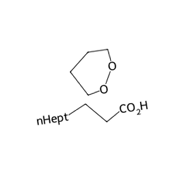 C1CCOOC1.CCCCCCCCCC(=O)O